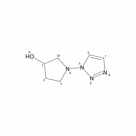 OC1CCN(n2ccnn2)C1